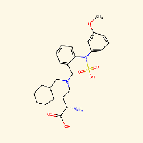 COc1cccc(N(c2ccccc2CN(CC[C@H](N)C(=O)O)CC2CCCCC2)S(=O)(=O)O)c1